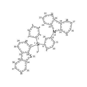 C[Si](c1ccccc1)(c1cccc(-n2c3ccccc3c3ccccc32)c1)c1cccc2c1sc1ccccc12